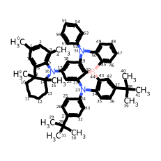 Cc1cc(C)c2c(c1)C1(C)CCCCC1(C)N2c1cc2c3c(c1)N(c1ccc(C(C)(C)C)cc1)c1ccc(C(C)(C)C)cc1B3c1ccccc1N2c1ccccc1